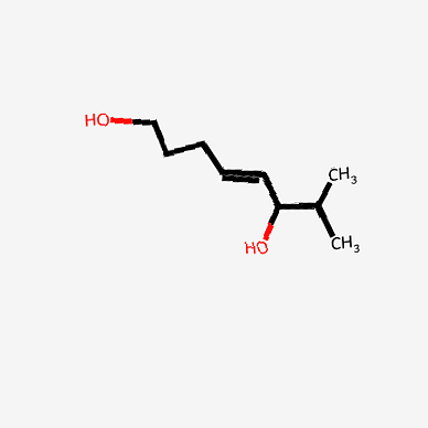 CC(C)C(O)C=CCCCO